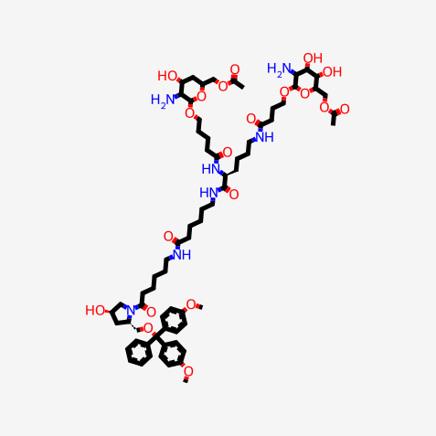 COc1ccc(C(OC[C@@H]2C[C@@H](O)CN2C(=O)CCCCCNC(=O)CCCCCNC(=O)[C@H](CCCCNC(=O)CCCOC2OC(COC(C)=O)C(O)C(O)C2N)NC(=O)CCCCOC2OC(COC(C)=O)CC(O)C2N)(c2ccccc2)c2ccc(OC)cc2)cc1